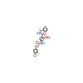 CC(NC(=O)C12CCC(NC(=O)COc3ccc(Cl)c(F)c3)(CC1)CC2O)c1cccnc1